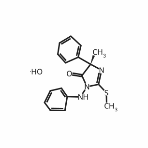 CSC1=N[C@@](C)(c2ccccc2)C(=O)N1Nc1ccccc1.[OH]